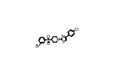 O=S(=O)(c1cccc(Br)c1)C1CCN(c2nc(-c3ccc(Cl)cc3)cs2)CC1